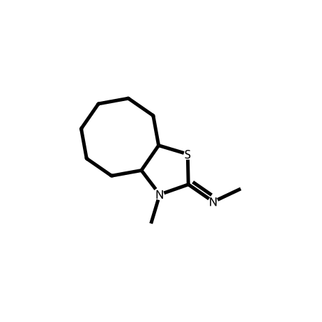 C/N=C1\SC2CCCCCCC2N1C